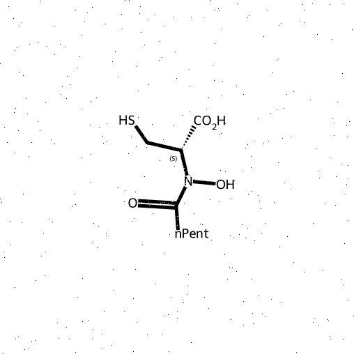 CCCCCC(=O)N(O)[C@H](CS)C(=O)O